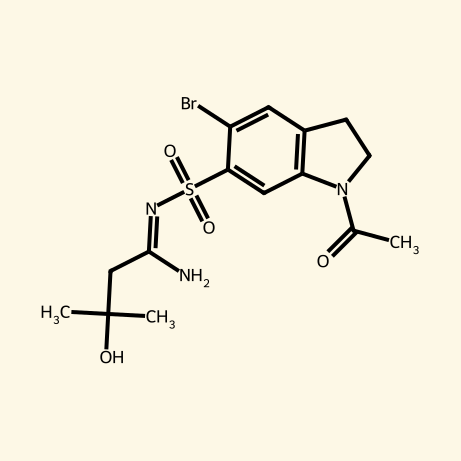 CC(=O)N1CCc2cc(Br)c(S(=O)(=O)/N=C(\N)CC(C)(C)O)cc21